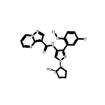 CCOc1ccc(Cl)cc1-c1nn([C@H]2CCC[C@H]2O)cc1NC(=O)c1cnn2cccnc12